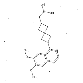 COc1cc2ncnc(N3CC4(CC(CB(O)O)C4)C3)c2cc1OC